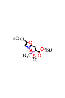 CCCCCCCCc1cnc(CC(C(=O)OC(C)(C)C)P(C)(=O)OCC)o1